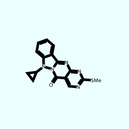 CSc1ncc2c(=O)n3c(nc2n1)c1ccccc1n3C1CC1